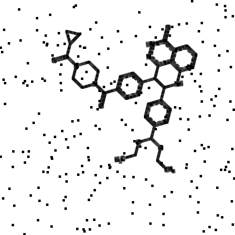 CCOC(OCC)c1ccc(C2Nc3cccc4c(=O)[nH]nc(c34)C2c2ccc(C(=O)N3CCN(C(=O)C4CC4)CC3)cc2)cc1